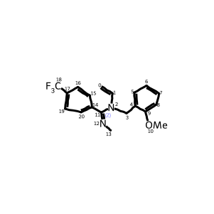 C=CN(Cc1ccccc1OC)/C(=N\C)c1ccc(C(F)(F)F)cc1